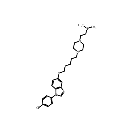 CN(C)CCN1CCN(CCCCCOc2ccc3c(c2)ncn3-c2ccc(Cl)cc2)CC1